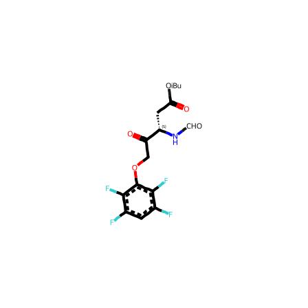 CC(C)COC(=O)C[C@H](NC=O)C(=O)COc1c(F)c(F)cc(F)c1F